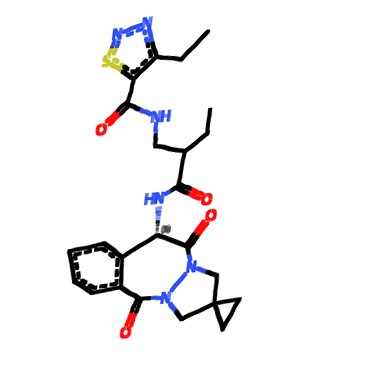 CCc1nnsc1C(=O)NCC(CC)C(=O)N[C@@H]1C(=O)N2CC3(CC3)CN2C(=O)c2ccccc21